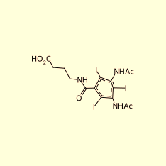 CC(=O)Nc1c(I)c(NC(C)=O)c(I)c(C(=O)NCCCC(=O)O)c1I